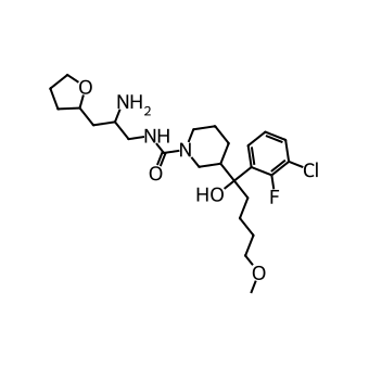 COCCCCC(O)(c1cccc(Cl)c1F)C1CCCN(C(=O)NCC(N)CC2CCCO2)C1